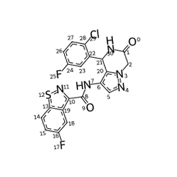 O=C1Cn2ncc(NC(=O)c3nsc4ccc(F)cc34)c2C(c2cc(F)ccc2Cl)N1